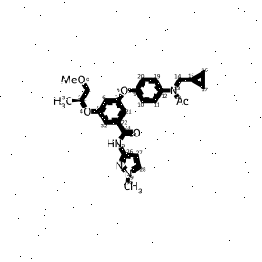 COC[C@H](C)Oc1cc(Oc2ccc(N(CC3CC3)C(C)=O)cc2)cc(C(=O)Nc2ccn(C)n2)c1